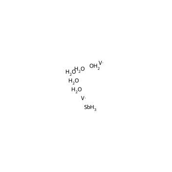 O.O.O.O.O.[SbH3].[V].[V]